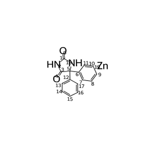 O=C1NC(=O)C(c2ccccc2)(c2ccccc2)N1.[Zn]